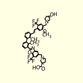 COc1cc(/C=C/c2cccc(-c3cccc(-c4nc5cc(CN6CC[C@@H](C(=O)O)C6)cc(C(F)(F)F)c5o4)c3C)c2C)c(C(F)(F)F)cc1CN1CC[C@@H](O)C1